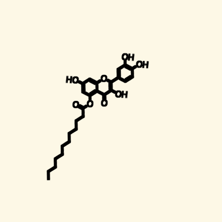 CCCCCCCCCCCC(=O)Oc1cc(O)cc2oc(-c3ccc(O)c(O)c3)c(O)c(=O)c12